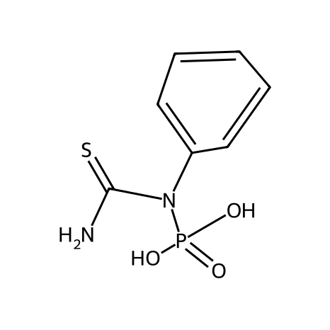 NC(=S)N(c1ccccc1)P(=O)(O)O